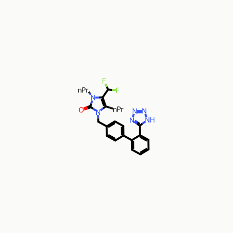 CCCc1c(C(F)F)n(CCC)c(=O)n1Cc1ccc(-c2ccccc2-c2nnn[nH]2)cc1